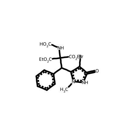 CCOC(=O)C(NC(=O)O)(C(=O)OCC)C(c1ccccc1)c1c(Br)c(=O)[nH]n1C